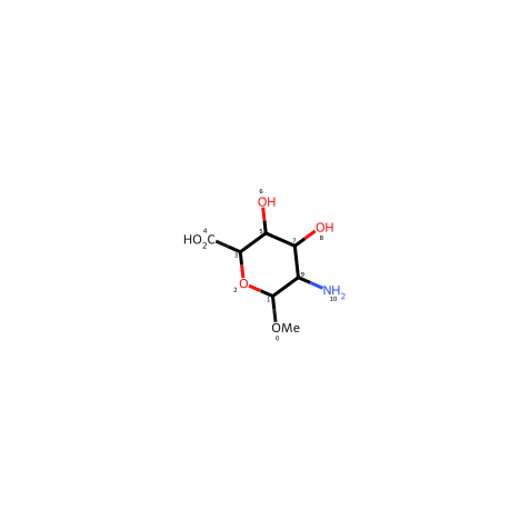 COC1OC(C(=O)O)C(O)C(O)C1N